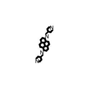 C(=N\c1ccc2ccc3c(/N=C/c4ccncc4)ccc4ccc1c2c43)/c1ccncc1